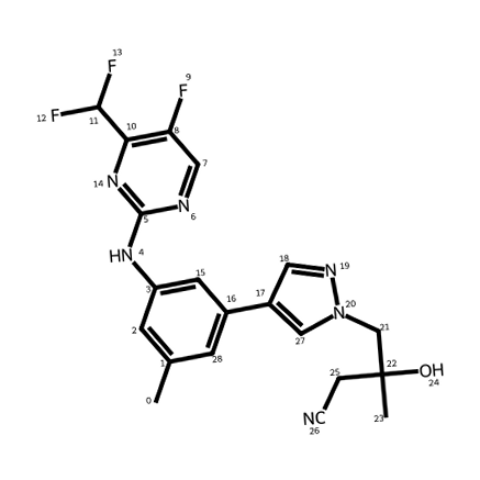 Cc1cc(Nc2ncc(F)c(C(F)F)n2)cc(-c2cnn(CC(C)(O)CC#N)c2)c1